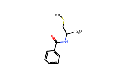 CCOC(=O)C(CSC(C)(C)C)NC(=O)c1ccccc1